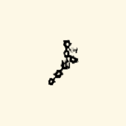 c1ccc(-c2ccc(-c3cnc(-n4c5ccccc5c5c6[nH]c7ccccc7c6ccc54)nc3)cc2)cc1